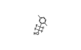 Cc1ccc(C)c(C(F)(F)C(O)(F)F)c1